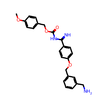 COc1ccc(COC(=O)NC(=N)c2ccc(OCc3cccc(CN)c3)cc2)cc1